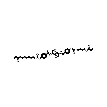 C=CC(=O)CCCCCCCOC(=O)Oc1ccc(C(=O)O[C@H]2COC3C2OC[C@@H]3OC(=O)c2ccc(OC(=O)OCCCCOC(=O)C=C)cc2)cc1